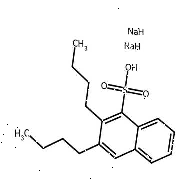 CCCCc1cc2ccccc2c(S(=O)(=O)O)c1CCCC.[NaH].[NaH]